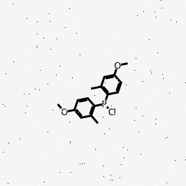 COc1ccc(P(Cl)c2ccc(OC)cc2C)c(C)c1